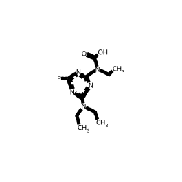 CCN(CC)c1nc(F)nc(N(CC)C(=O)O)n1